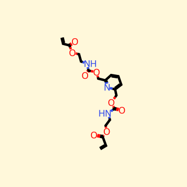 C=CC(=O)OCCNC(=O)OCc1cccc(COC(=O)NCCOC(=O)C=C)n1